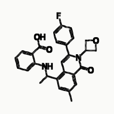 Cc1cc(C(C)Nc2ccccc2C(=O)O)c2cc(-c3ccc(F)cc3)n(C3COC3)c(=O)c2c1